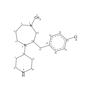 CN1CCCN(C2CCNCC2)C(Cc2ccc(Cl)cc2)C1